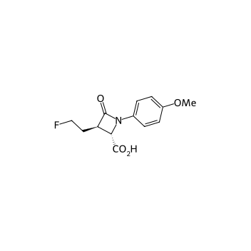 COc1ccc(N2C(=O)[C@H](CCF)[C@H]2C(=O)O)cc1